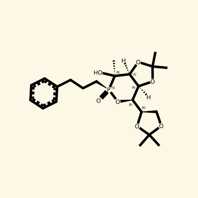 CC1(C)OC[C@H]([C@H]2O[P@@](=O)(CCCc3ccccc3)[C@@](C)(O)[C@H]3OC(C)(C)O[C@@H]23)O1